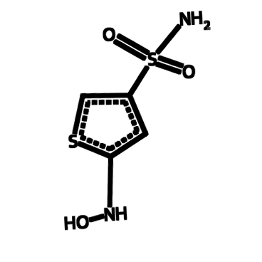 NS(=O)(=O)c1csc(NO)c1